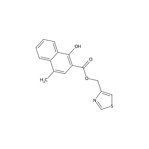 Cc1cc(C(=O)OCc2cscn2)c(O)c2ccccc12